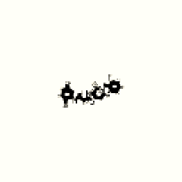 C/C(Cc1nc2c(s1)CCN(Cc1c(F)cccc1F)C2=O)=N\c1cc(C)ccc1C